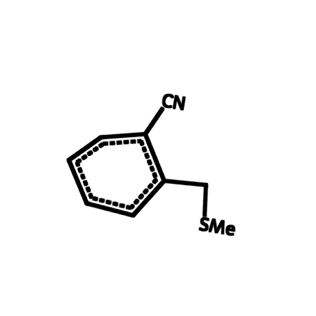 CSCc1ccccc1C#N